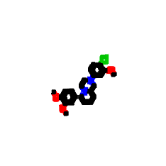 COc1cc(N2CCN3C(CC=C[C@@H]3c3ccc(OC)c(OC)c3)C2)ccc1Cl